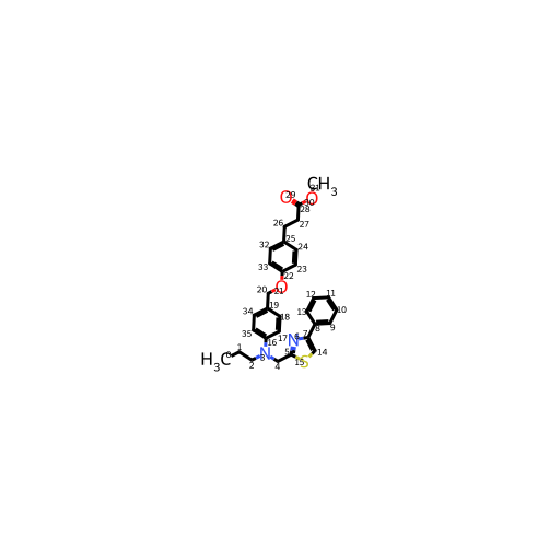 CCCN(Cc1nc(-c2ccccc2)cs1)c1ccc(COc2ccc(CCC(=O)OC)cc2)cc1